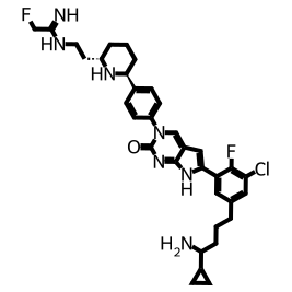 N=C(CF)NCC[C@@H]1CCC[C@@H](c2ccc(-n3cc4cc(-c5cc(CCCC(N)C6CC6)cc(Cl)c5F)[nH]c4nc3=O)cc2)N1